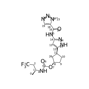 C[C@@H](CC(F)(F)F)NC(=O)O[C@@H]1CC[C@H](c2cc(NC(=O)c3cnnn3C)n[nH]2)C1